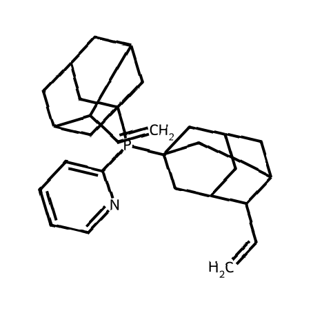 C=CC1C2CC3CC1CC(P(c1ccccn1)C14CC5CC(C1)C(C=C)C(C5)C4)(C3)C2